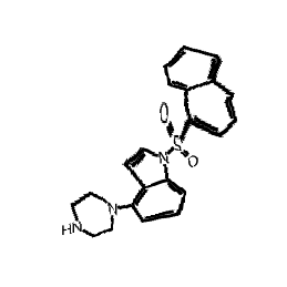 O=S(=O)(c1cccc2ccccc12)n1ccc2c(N3CCNCC3)cccc21